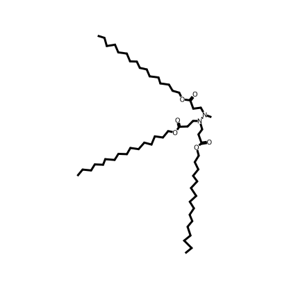 CCCCCCCCCCCCCCCCOC(=O)CCN(C)N(CCC(=O)OCCCCCCCCCCCCCCCC)CCC(=O)OCCCCCCCCCCCCCCCC